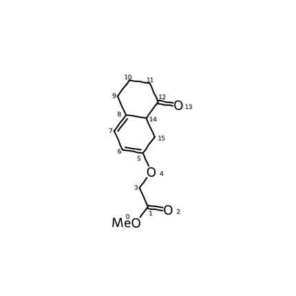 COC(=O)COC1=CC=C2CCCC(=O)C2C1